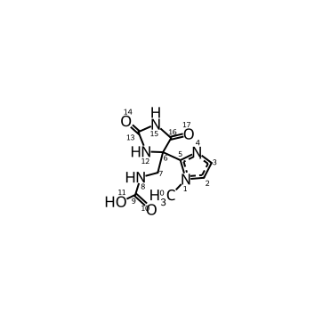 Cn1ccnc1C1(CNC(=O)O)NC(=O)NC1=O